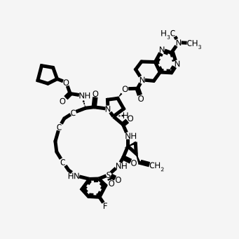 C=C[C@@H]1C[C@@]12NC(=O)[C@@H]1C[C@@H](OC(=O)N3CCc4nc(N(C)C)ncc4C3)CN1C(=O)[C@@H](NC(=O)OC1CCCC1)CCCCCCCNc1ccc(F)cc1S(=O)(=O)NC2=O